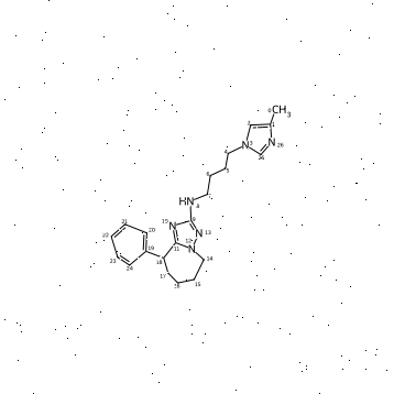 Cc1cn(CCCCNc2nc3n(n2)CCCCC3c2ccccc2)cn1